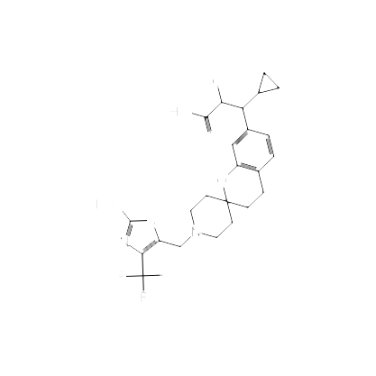 Cc1nc(C(F)(F)F)c(CN2CCC3(CCc4ccc(C(C5CC5)C(C)C(=O)O)cc4O3)CC2)s1